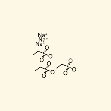 CCS(=O)(=O)[O-].CCS(=O)(=O)[O-].CCS(=O)(=O)[O-].[Na+].[Na+].[Na+]